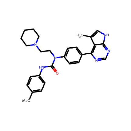 COc1ccc(NC(=O)N(CCN2CCCCC2)c2ccc(-c3ncnc4[nH]cc(C)c34)cc2)cc1